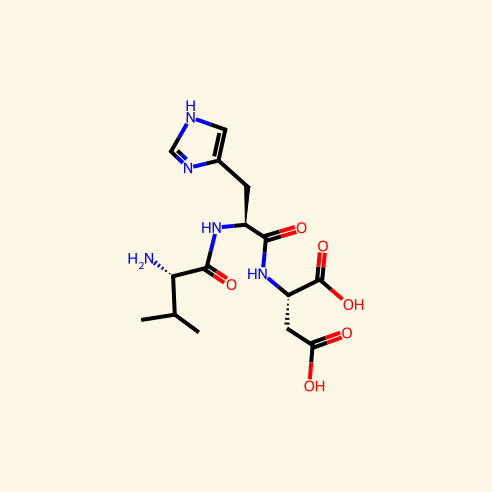 CC(C)[C@H](N)C(=O)N[C@@H](Cc1c[nH]cn1)C(=O)N[C@@H](CC(=O)O)C(=O)O